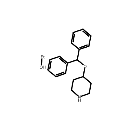 CCO.c1ccc(C(OC2CCNCC2)c2ccccc2)cc1